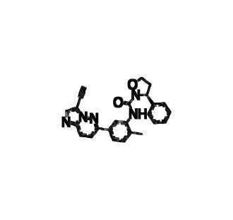 C#Cc1cnc2ccc(-c3ccc(C)c(NC(=O)N4OCC[C@H]4c4ccccc4)c3)nn12